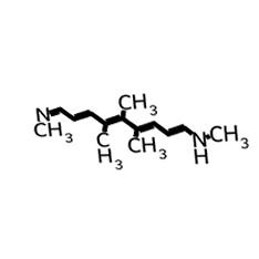 C\N=C/C=C/C(C)=C(C)/C(C)=C/C=C/NC